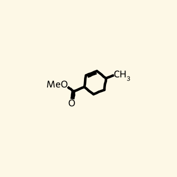 COC(=O)C1C=CC(C)CC1